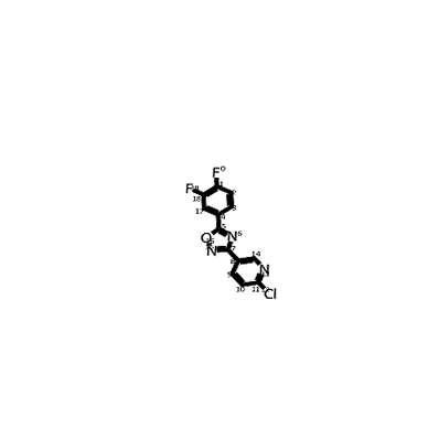 Fc1ccc(-c2nc(-c3ccc(Cl)nc3)no2)cc1F